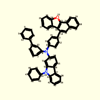 c1ccc(-c2cccc(N(c3ccc(-c4cc5ccccc5c5oc6ccccc6c45)cc3)c3ccc4c5ccccc5n(-c5ccccc5)c4c3)c2)cc1